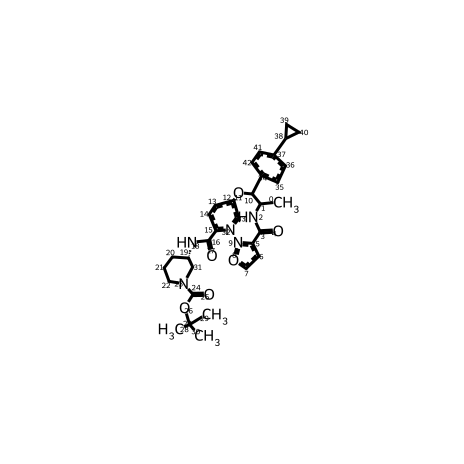 CC(NC(=O)c1ccon1)C(Oc1ccc(C(=O)N[C@H]2CCCN(C(=O)OC(C)(C)C)C2)nc1)c1ccc(C2CC2)cc1